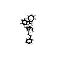 O=C(O[C@H]1C[N+]2(CCc3ccccc3)CCC1CC2)C1(c2ccccc2)CCCCCC1